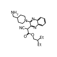 CCC(CC)COC(=O)C(C#N)c1nc2ccccc2nc1N1CCC(CN)CC1